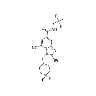 CC(C)c1nc2cc(C(=O)NCC(C)(F)F)cc(C#N)n2c1CC1CCC(F)(F)CC1